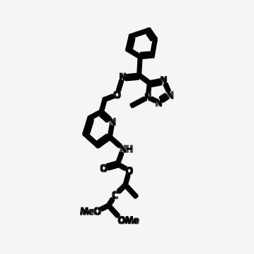 COC(CC(C)OC(=O)Nc1cccc(CO/N=C(/c2ccccc2)c2nnnn2C)n1)OC